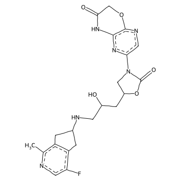 Cc1ncc(F)c2c1CC(NCC(O)CC1CN(c3cnc4c(n3)NC(=O)CO4)C(=O)O1)C2